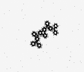 c1ccc(N(c2ccccc2)c2ccc3c(c2)c2ccccc2n3-c2ccc3c4ccc(-n5c6ccccc6c6cc(N(c7ccccc7)c7ccccc7)ccc65)cc4c4ccccc4c3c2)cc1